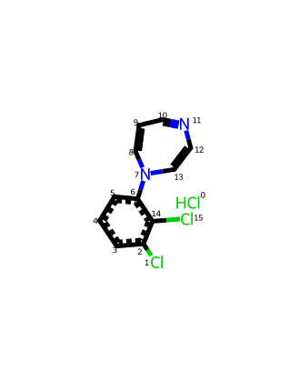 Cl.Clc1cccc(N2C=CC=NC=C2)c1Cl